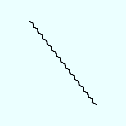 C[CH]CCCCCCCCCCCCCCCCCCCCCCCCCCCC